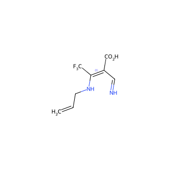 C=CCN/C(=C(\C=N)C(=O)O)C(F)(F)F